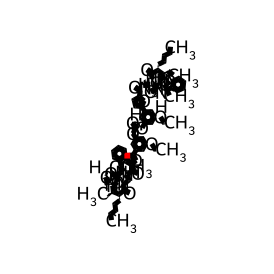 CCCCC[C@@H](C(=O)NCNC(=O)c1ccc(-c2cc(OCC)cc(O[PH](=O)Oc3cc(OCC)cc(-c4ccc(C(=O)NCNC(=O)[C@H](CCCCC)[C@@H](CC)N(C=O)OC(=O)NC(C)(C)c5ccccc5)o4)c3)c2)o1)[C@@H](CC)N(C=O)OC(=O)NC(C)(C)c1ccccc1